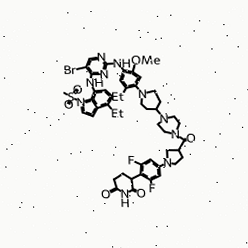 CCc1cc(Nc2ncc(Br)c(Nc3ccc(CC)c4ccn(S(C)(=O)=O)c34)n2)c(OC)cc1N1CCC(N2CCN(C(=O)C3CCN(c4cc(F)c(C5CCC(=O)NC5=O)c(F)c4)C3)CC2)CC1